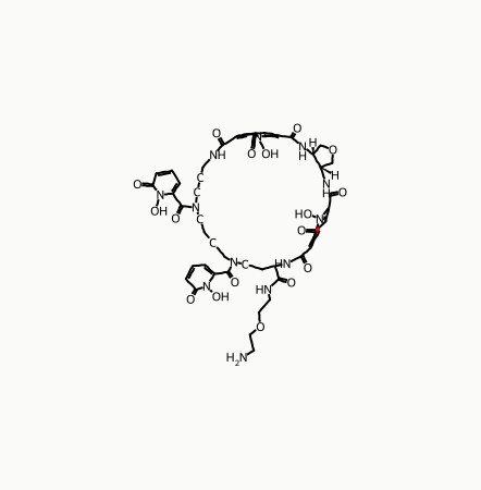 NCCOCCNC(=O)C1CCN(C(=O)c2cccc(=O)n2O)CCCCN(C(=O)c2cccc(=O)n2O)CCCNC(=O)c2ccc(n(O)c2=O)C(=O)N[C@@H]2COC[C@@H]2NC(=O)c2ccc(c(=O)n2O)C(=O)N1